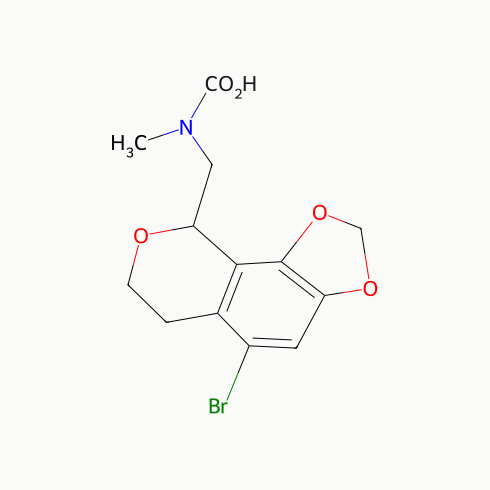 CN(CC1OCCc2c(Br)cc3c(c21)OCO3)C(=O)O